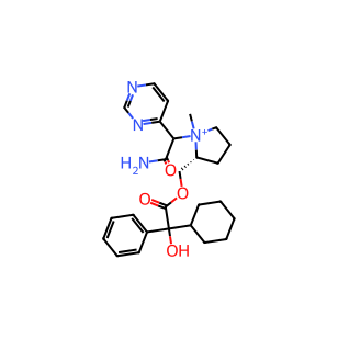 C[N+]1(C(C(N)=O)c2ccncn2)CCC[C@@H]1COC(=O)C(O)(c1ccccc1)C1CCCCC1